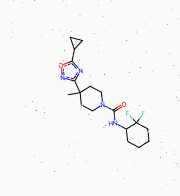 CC1(c2noc(C3CC3)n2)CCN(C(=O)NC2CCCCC2(F)F)CC1